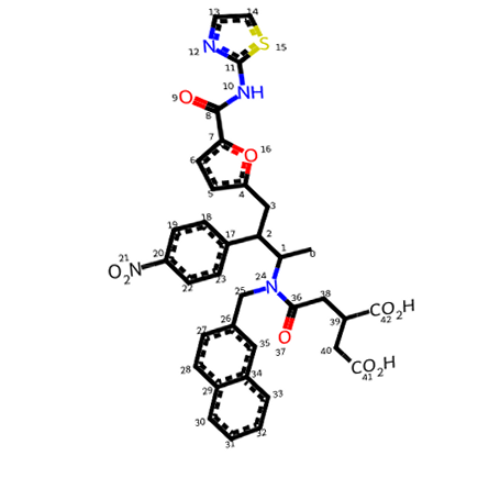 CC(C(Cc1ccc(C(=O)Nc2nccs2)o1)c1ccc([N+](=O)[O-])cc1)N(Cc1ccc2ccccc2c1)C(=O)CC(CC(=O)O)C(=O)O